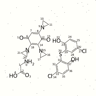 NCC(=O)O.O=C1C=C(N2CC2)C(=O)C(N2CC2)=C1N1CC1.Oc1ccc(Cl)cc1Sc1cc(Cl)ccc1O